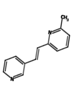 Cc1cccc(/C=C/c2cccnc2)n1